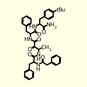 CC(NC(=O)C(Cc1ccccc1)NC(=O)Cc1ccccc1)C(=O)C(=O)NC(Cc1ccccc1)C(=O)NC(Cc1ccc(C(C)(C)C)cc1)C(N)=O